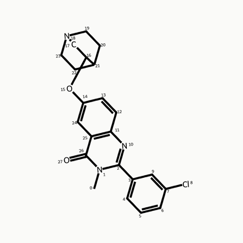 Cn1c(-c2cccc(Cl)c2)nc2ccc(OC3CN4CCC3CC4)cc2c1=O